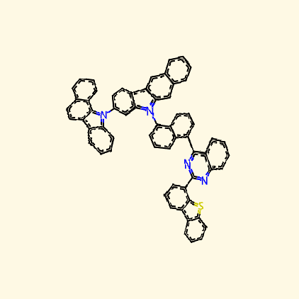 c1ccc2cc3c(cc2c1)c1ccc(-n2c4ccccc4c4ccc5ccccc5c42)cc1n3-c1cccc2c(-c3nc(-c4cccc5c4sc4ccccc45)nc4ccccc34)cccc12